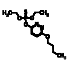 CCCCOc1ccc(OP(=S)(OCC)OCC)nn1